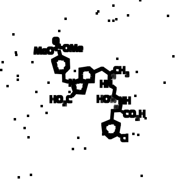 COP(=O)(OC)c1ccc(Cn2c(C(=O)O)cc3cc(C[C@@H](C)NC[C@@H](O)N[C@@H](Cc4cccc(Cl)c4)C(=O)O)ccc32)cc1